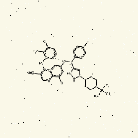 Cc1c(Cl)cccc1Nc1c(C#N)cnc2c(Cl)cc(N[C@H](C3=CN(C4CCN(C(C)(C)C)CC4)NN3)c3ccc(Cl)cc3)cc12